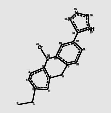 CCc1ccc2c(c1)Cc1ccc(-c3nnn[nH]3)cc1[S+]2[O-]